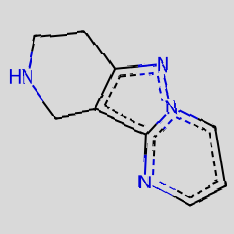 c1cnc2c3c(nn2c1)CCNC3